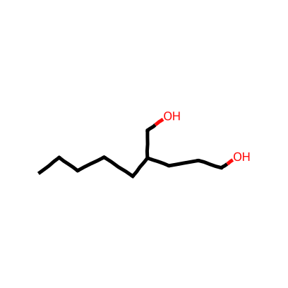 CCCCCC(CO)CCCO